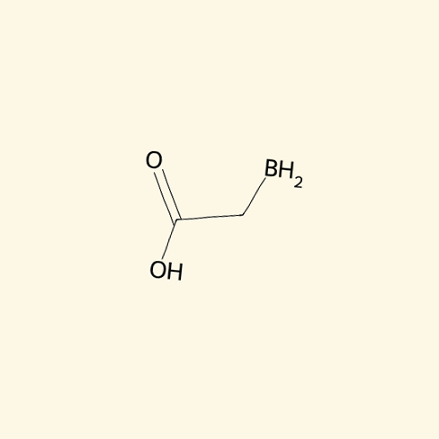 BCC(=O)O